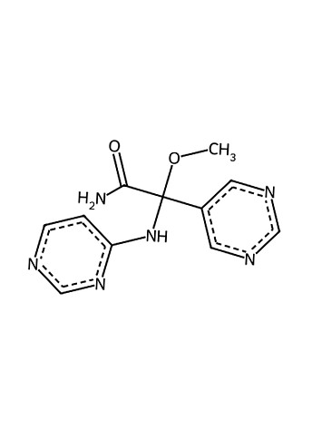 COC(Nc1ccncn1)(C(N)=O)c1cncnc1